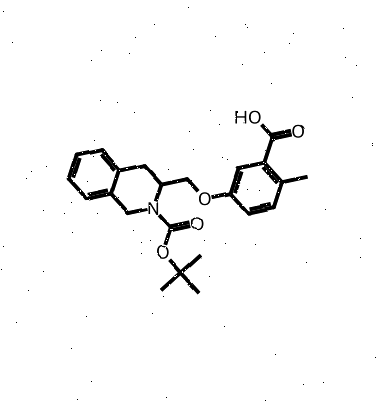 Cc1ccc(OCC2Cc3ccccc3CN2C(=O)OC(C)(C)C)cc1C(=O)O